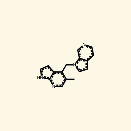 Cc1cnc2[nH]ccc2c1Cn1ccc2ccncc21